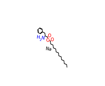 CCCCCCCCCCCCCC(=O)OC(=O)[C@@H](N)Cc1ccccc1.[Na]